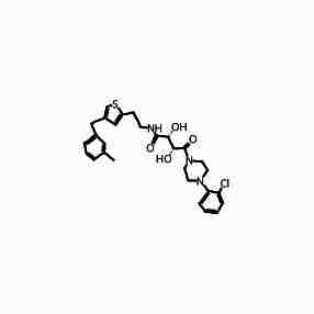 Cc1cccc(Cc2csc(CCNC(=O)[C@H](O)[C@@H](O)C(=O)N3CCN(c4ccccc4Cl)CC3)c2)c1